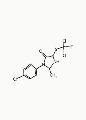 CC1NN(SC(F)(Cl)Cl)C(=O)N1c1ccc(Cl)cc1